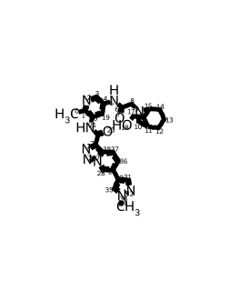 Cc1ncc(NC(=O)CN2CC3CCCC2C3CO)cc1NC(=O)c1nnn2cc(-c3cnn(C)c3)ccc12